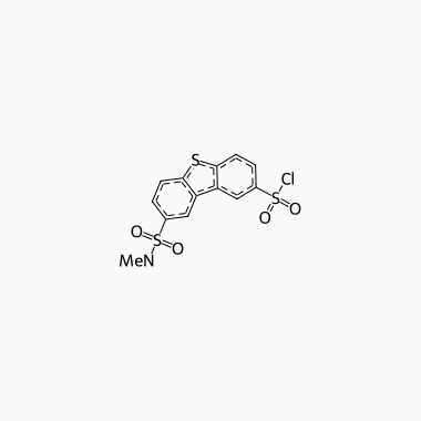 CNS(=O)(=O)c1ccc2sc3ccc(S(=O)(=O)Cl)cc3c2c1